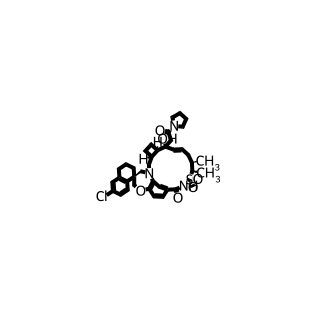 C[C@@H]1[C@@H](C)C/C=C/[C@@](O)(CC(=O)N2CCCC2)[C@@H]2CC[C@H]2CN2C[C@@]3(CCCc4cc(Cl)ccc43)COc3ccc(cc32)C(=O)NS1(=O)=O